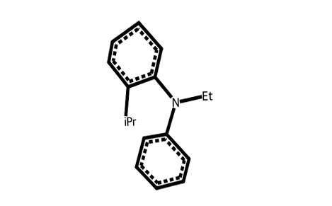 CCN(c1ccccc1)c1ccccc1C(C)C